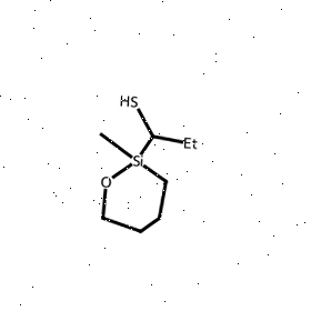 CCC(S)[Si]1(C)CCCCO1